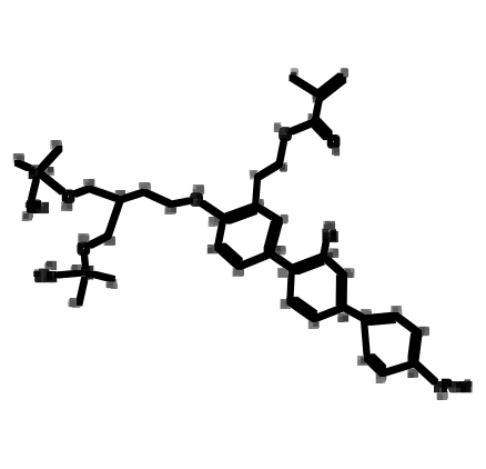 C=C(C)C(=O)OCCc1cc(-c2ccc(-c3ccc(CCCCC)cc3)cc2CC)ccc1OCCC(CO[Si](C)(C)C(C)(C)C)CO[Si](C)(C)C(C)(C)C